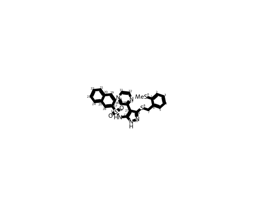 CSc1ccccc1CSc1n[nH]c(NS(=O)(=O)c2ccc3ccccc3c2)c1-c1cnccn1